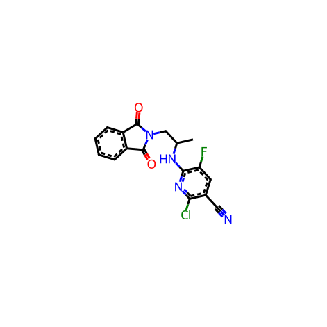 CC(CN1C(=O)c2ccccc2C1=O)Nc1nc(Cl)c(C#N)cc1F